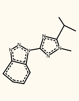 CC(C)c1nc(-n2nnc3ccccc32)nn1C